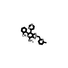 Cc1cccc(Cn2nc3c(N)nc(-c4ccccc4C#N)c(-c4ccncn4)c3n2)n1